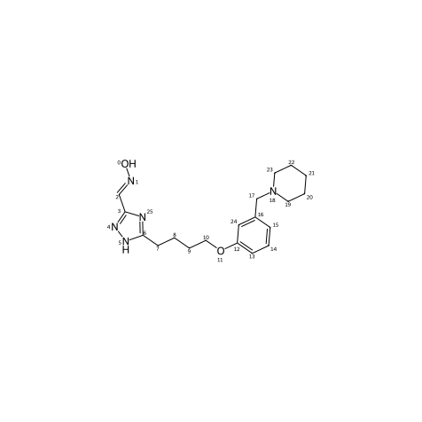 ON=Cc1n[nH]c(CCCCOc2cccc(CN3CCCCC3)c2)n1